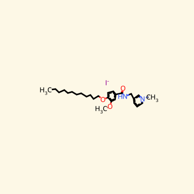 CCCCCCCCCCCCOc1ccc(C(=O)NCc2ccc[n+](C)c2)cc1OC.[I-]